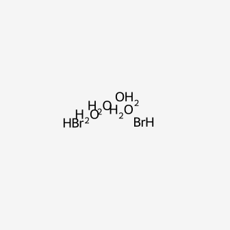 Br.Br.O.O.O.O